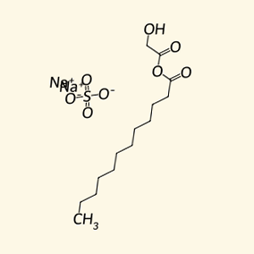 CCCCCCCCCCCC(=O)OC(=O)CO.O=S(=O)([O-])[O-].[Na+].[Na+]